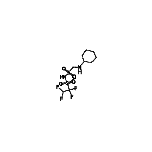 O=S(=O)(CNC1CCCCC1)NS(=O)(=O)C(F)(F)C(F)F